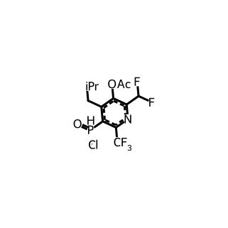 CC(=O)Oc1c(C(F)F)nc(C(F)(F)F)c([PH](=O)Cl)c1CC(C)C